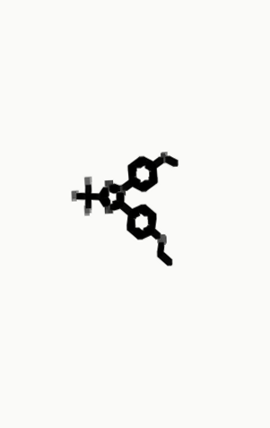 CCOc1ccc(-c2nc(C(F)(F)F)nn2-c2ccc(SC)cc2)cc1